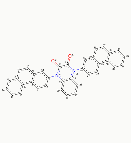 O=c1c(=O)n(-c2ccc3c(ccc4ccccc43)c2)c2ccccc2n1-c1ccc2c(ccc3ccccc32)c1